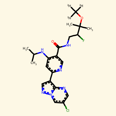 [2H]C([2H])([2H])OC(C)(C)C(F)CNC(=O)c1cnc(-c2cnn3cc(Cl)cnc23)cc1NC(C)C